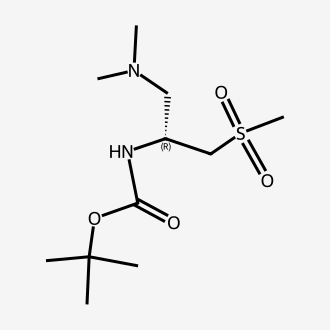 CN(C)C[C@H](CS(C)(=O)=O)NC(=O)OC(C)(C)C